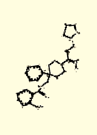 COc1ccccc1C(=O)NCC1(c2ccccc2)CCN(/C(=N\C#N)NC[C@@H]2CCCO2)CC1